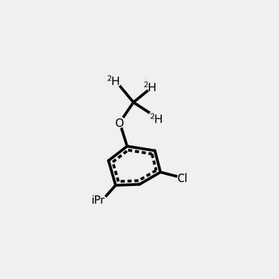 [2H]C([2H])([2H])Oc1cc(Cl)cc(C(C)C)c1